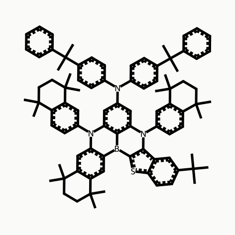 CC(C)(C)c1ccc2sc3c(c2c1)N(c1ccc2c(c1)C(C)(C)CCC2(C)C)c1cc(N(c2ccc(C(C)(C)c4ccccc4)cc2)c2ccc(C(C)(C)c4ccccc4)cc2)cc2c1B3c1cc3c(cc1N2c1ccc2c(c1)C(C)(C)CCC2(C)C)C(C)(C)CCC3(C)C